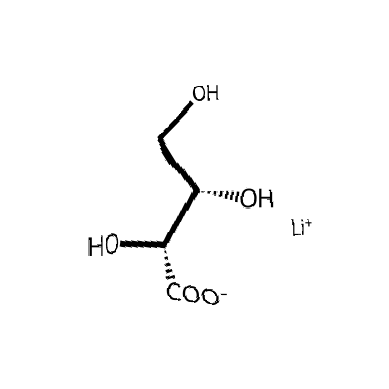 O=C([O-])[C@H](O)[C@@H](O)CO.[Li+]